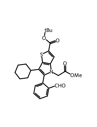 COC(=O)Cn1c(-c2ccccc2C=O)c(C2CCCCC2)c2sc(C(=O)OC(C)(C)C)cc21